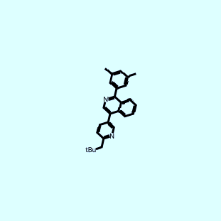 Cc1cc(C)cc(-c2ncc(-c3ccc(CC(C)(C)C)nc3)c3ccccc23)c1